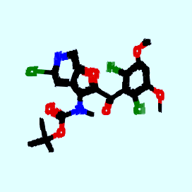 COc1cc(OC)c(Cl)c(C(=O)c2oc3cnc(Cl)cc3c2N(C)C(=O)OC(C)(C)C)c1F